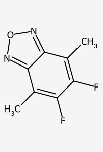 Cc1c(F)c(F)c(C)c2nonc12